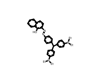 CCN(CC)c1ccc(C(c2ccc(N=Nc3ccc4ccccc4c3O)cc2)c2ccc(N(CC)CC)cc2)cc1